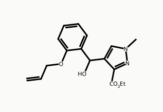 C=CCOc1ccccc1C(O)c1cn(C)nc1C(=O)OCC